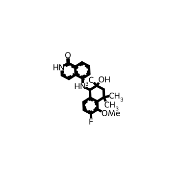 COc1c(F)ccc2c1C(C)(C)CC(O)(C(F)(F)F)C2Nc1cccc2c(=O)[nH]ccc12